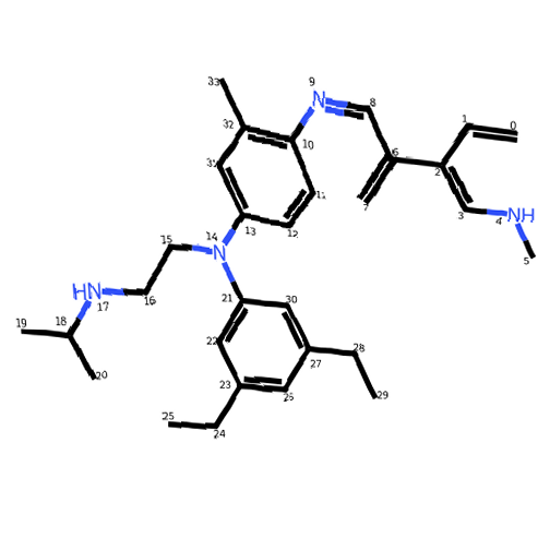 C=C/C(=C\NC)C(=C)/C=N\c1ccc(N(CCNC(C)C)c2cc(CC)cc(CC)c2)cc1C